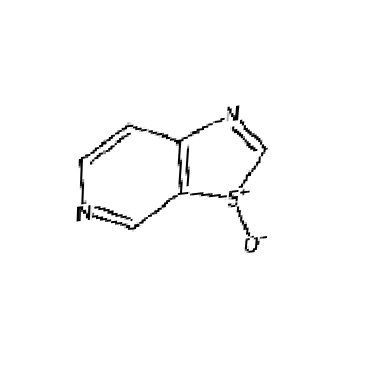 [O-][s+]1cnc2ccncc21